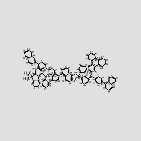 CC1(C)c2ccccc2-c2c(N(c3ccccc3-c3ccc(-c4ccc5ccccc5c4)cc3)c3ccccc3-c3ccc(-c4cccc5c(CC6(C)c7ccccc7-c7c(N(c8ccc(-c9cccc%10ccccc9%10)cc8)c8cccc(-c9ccccc9-c9ccccc9)c8)cccc76)cccc45)cc3)cccc21